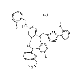 COc1ccccc1-c1ccc(CN2C(=O)C(CC(=O)NCc3ccccc3F)OC(c3cccc(CN)c3)c3cc(Cl)ccc32)o1.Cl